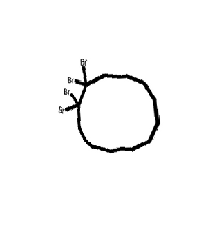 BrC1(Br)CCCCCCCCCCC1(Br)Br